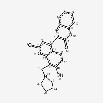 O=c1cc(-c2cc3ccccc3oc2=O)c2ccc(O)c(CN3CCCC3)c2o1